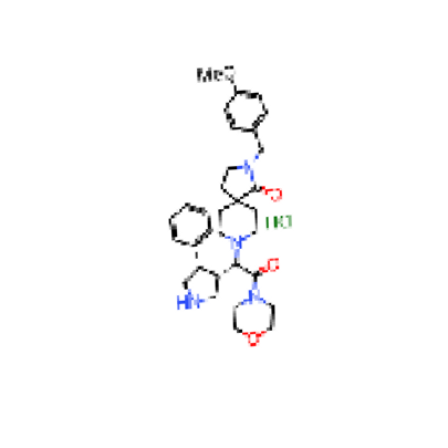 COc1ccc(CN2CCC3(CCN(C(C(=O)N4CCOCC4)[C@@H]4CNC[C@@H]4c4ccccc4)CC3)C2=O)cc1.Cl